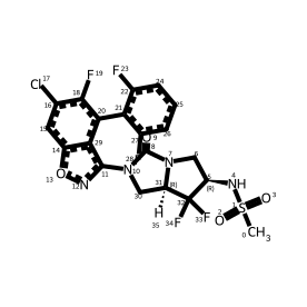 CS(=O)(=O)N[C@@H]1CN2C(=O)N(c3noc4cc(Cl)c(F)c(-c5c(F)cccc5F)c34)C[C@@H]2C1(F)F